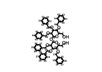 OCC1O[C@@H](O[C@@H]2OC(CO)[C@H](OCc3ccccc3)[C@@H](OCc3ccccc3)C2OCc2ccccc2)C(OCc2ccccc2)C(OCc2ccccc2)[C@@H]1OCc1ccccc1